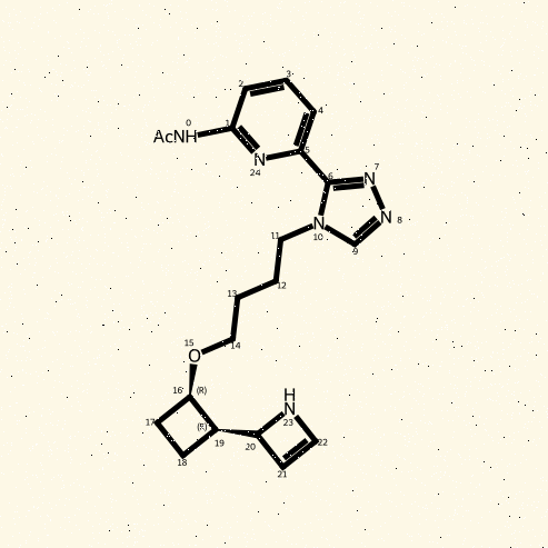 CC(=O)Nc1cccc(-c2nncn2CCCCO[C@@H]2CC[C@@H]2C2C=CN2)n1